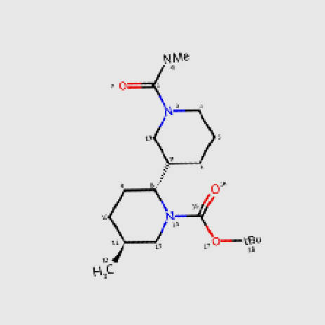 CNC(=O)N1CCCC([C@H]2CC[C@H](C)CN2C(=O)OC(C)(C)C)C1